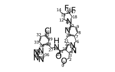 COCc1nn(Cc2ccc(N3CC(C)C(F)(F)C3)nc2C)cc1C(=O)NCc1cc(Cl)ccc1-n1cnnn1